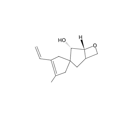 C=CC1=C(C)CC2(C1)CC1CO[C@H]1[C@H]2O